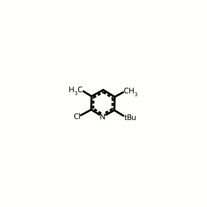 Cc1cc(C)c(C(C)(C)C)nc1Cl